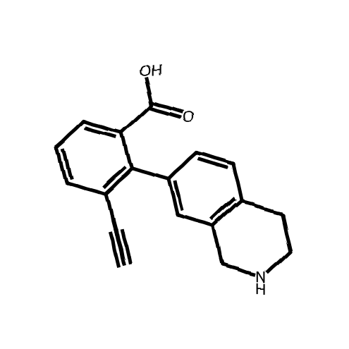 C#Cc1cccc(C(=O)O)c1-c1ccc2c(c1)CNCC2